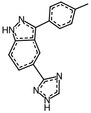 Cc1ccc(-c2n[nH]c3ccc(-c4nc[nH]n4)cc23)cc1